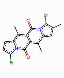 Cc1cc2c(C)c3c(=O)n4c(Br)ccc4c(C)c3c(=O)n2c1Br